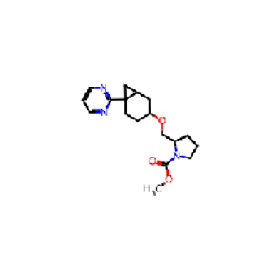 COC(=O)N1CCCC1COC1CCC2(c3ncccn3)CC2C1